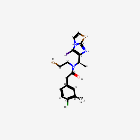 C[C@H](c1nc2sccn2c1I)N(CCS)C(=O)Cc1ccc(F)c(C(F)(F)F)c1